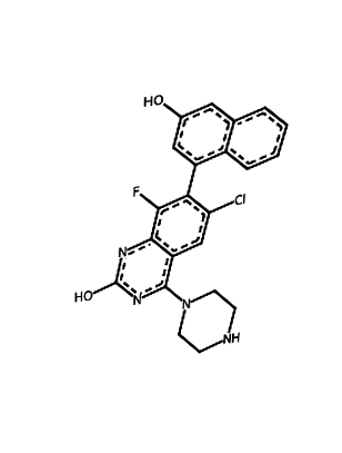 Oc1cc(-c2c(Cl)cc3c(N4CCNCC4)nc(O)nc3c2F)c2ccccc2c1